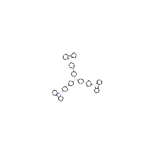 c1ccc2c(c1)c1ccccc1n2-c1ccc(-c2ccc(N(c3ccc(-c4ccc(-n5c6ccccc6c6ccccc65)cc4)cc3)c3ccc(-c4ccc(-n5c6ccccc6c6ccccc65)cc4)cc3)cc2)cc1